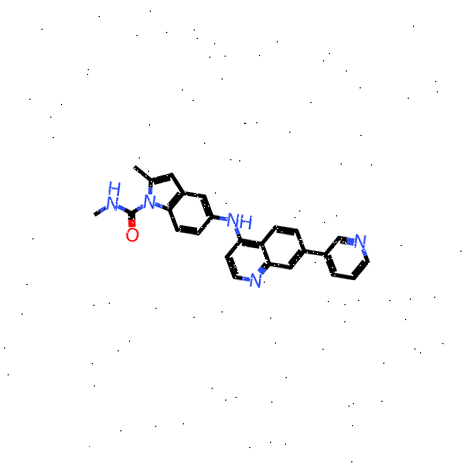 CNC(=O)n1c(C)cc2cc(Nc3ccnc4cc(-c5cccnc5)ccc34)ccc21